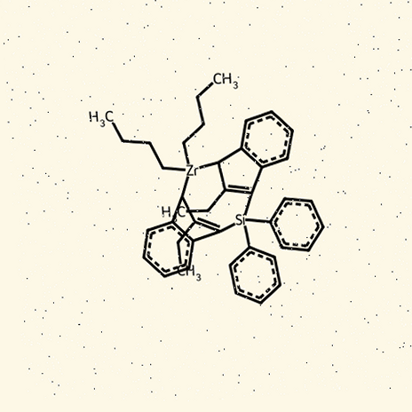 CCC[CH2][Zr]1([CH2]CCC)[CH]2C(CC)=C(c3ccccc32)[Si](c2ccccc2)(c2ccccc2)C2=C(CC)[CH]1c1ccccc12